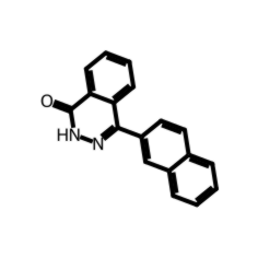 O=c1[nH]nc(-c2ccc3ccccc3c2)c2ccccc12